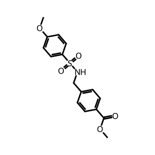 COC(=O)c1ccc(CNS(=O)(=O)c2ccc(OC)cc2)cc1